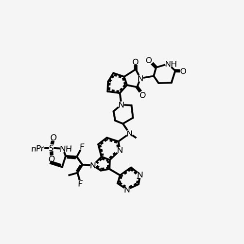 C=C/C(NS(=O)(=O)CCC)=C(F)\C(=C(/C)F)n1cc(-c2cncnc2)c2nc(N(C)C3CCN(c4cccc5c4C(=O)N(C4CCC(=O)NC4=O)C5=O)CC3)ccc21